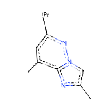 Cc1cn2nc(C(C)C)cc(C)c2n1